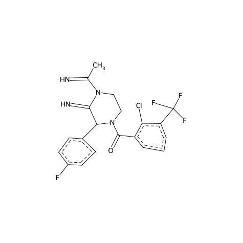 CC(=N)N1CCN(C(=O)c2cccc(C(F)(F)F)c2Cl)C(c2ccc(F)cc2)C1=N